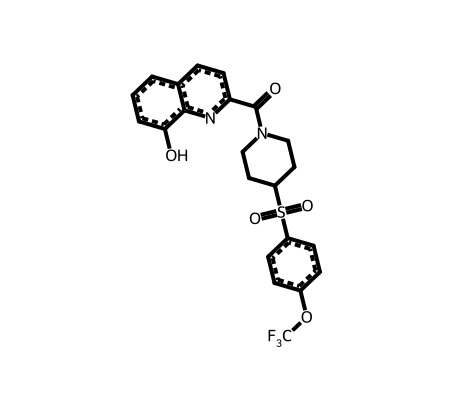 O=C(c1ccc2cccc(O)c2n1)N1CCC(S(=O)(=O)c2ccc(OC(F)(F)F)cc2)CC1